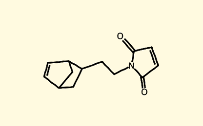 O=C1C=CC(=O)N1CCC1CC2C=CC1C2